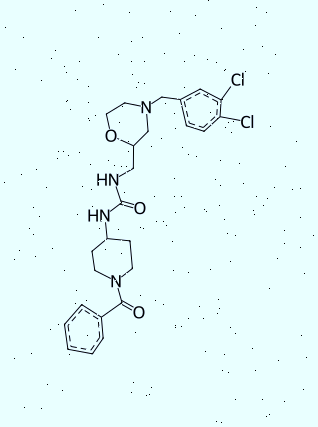 O=C(NCC1CN(Cc2ccc(Cl)c(Cl)c2)CCO1)NC1CCN(C(=O)c2ccccc2)CC1